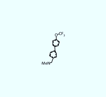 C[N]Cc1ccc(-c2ccc(OC(F)(F)F)cc2)cc1